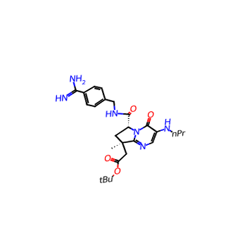 CCCNc1cnc2n(c1=O)[C@@H](C(=O)NCc1ccc(C(=N)N)cc1)C[C@]2(C)CC(=O)OC(C)(C)C